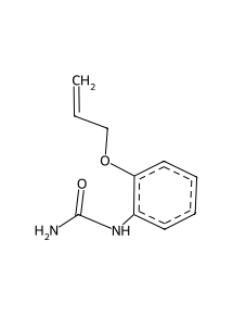 C=CCOc1ccccc1NC(N)=O